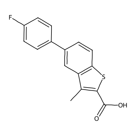 Cc1c(C(=O)O)sc2ccc(-c3ccc(F)cc3)cc12